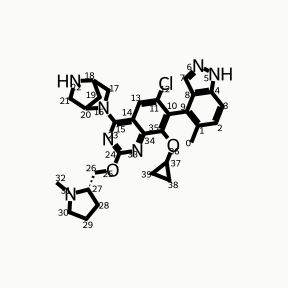 Cc1ccc2[nH]ncc2c1-c1c(Cl)cc2c(N3CC4CC3CN4)nc(OC[C@@H]3CCCN3C)nc2c1OC1CC1